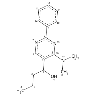 CCCC(O)c1cnc(-c2ccccc2)nc1N(C)C